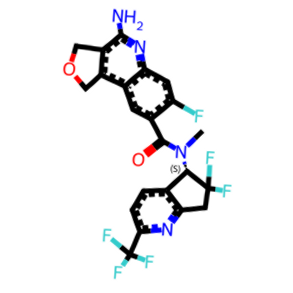 CN(C(=O)c1cc2c3c(c(N)nc2cc1F)COC3)[C@H]1c2ccc(C(F)(F)F)nc2CC1(F)F